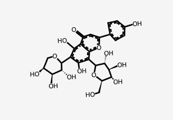 O=c1cc(-c2ccc(O)cc2)oc2c(C3O[C@H](CO)[C@@H](O)[C@H](O)[C@H]3O)c(O)c(C3OC[C@H](O)[C@H](O)[C@H]3O)c(O)c12